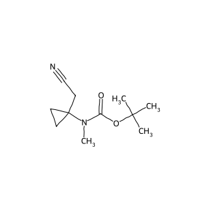 CN(C(=O)OC(C)(C)C)C1(CC#N)CC1